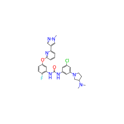 CN(C)C1CCN(c2cc(Cl)cc(NC(=O)Nc3cc(Oc4cccc(-c5cnn(C)c5)n4)ccc3F)c2)C1